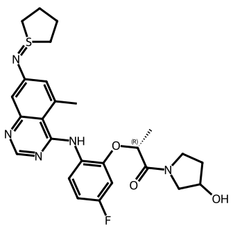 Cc1cc(N=S2CCCC2)cc2ncnc(Nc3ccc(F)cc3O[C@H](C)C(=O)N3CCC(O)C3)c12